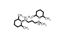 CC1CCCC(C)N1[SiH2]CCC[SiH](C)N1C(C)CCCC1C